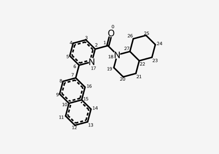 O=C(c1cccc(-c2ccc3ccccc3c2)n1)N1CCCC2CCCCC21